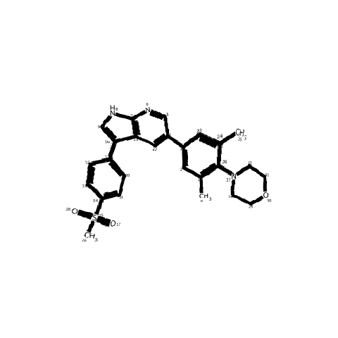 Cc1cc(-c2cnc3[nH]cc(-c4ccc(S(C)(=O)=O)cc4)c3c2)cc(C)c1N1CCOCC1